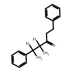 CCC(C)(C(=O)CCc1ccccc1)C(C)(CC)c1ccccc1